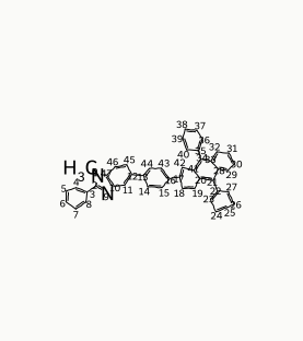 Cn1c(-c2ccccc2)nc2cc(-c3ccc(-c4ccc5c(-c6ccccc6)c6ccccc6c(-c6ccccc6)c5c4)cc3)ccc21